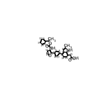 Cc1cc2c(-c3ccc(-c4oncc4NC(=O)OC(C)c4ccccc4)cc3)ccc(CC(=O)O)c2[nH]1